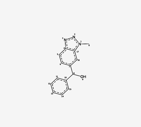 Cn1nnc2ccc(C(O)c3ccccc3)cc21